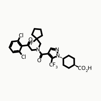 O=C(CN(CC1(F)CCCC1)C(=O)c1cnn([C@H]2CC[C@H](C(=O)O)CC2)c1C(F)(F)F)c1c(Cl)cccc1Cl